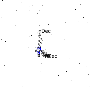 CCCCCCCCCCCCCCCCCCn1cc[n+](CCCCCCCCC)c1CCCCCCCCCCCCC